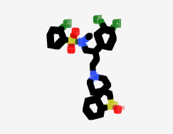 CN(CC(CCN1CCC2(CC1)C[S+]([O-])c1ccccc12)c1ccc(Cl)c(Cl)c1)S(=O)(=O)c1ccccc1Cl